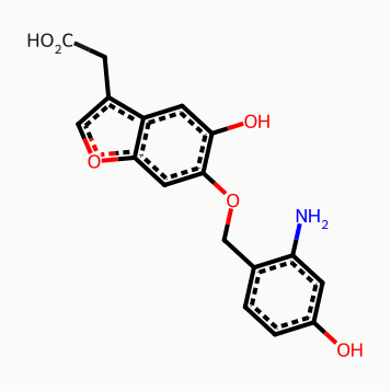 Nc1cc(O)ccc1COc1cc2occ(CC(=O)O)c2cc1O